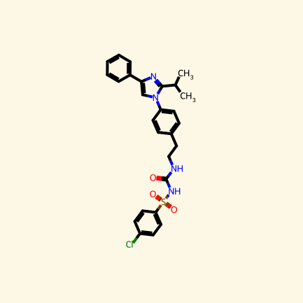 CC(C)c1nc(-c2ccccc2)cn1-c1ccc(CCNC(=O)NS(=O)(=O)c2ccc(Cl)cc2)cc1